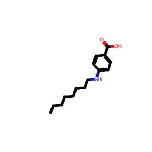 CCCCCCCCNc1ccc(C(=O)O)cc1